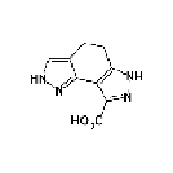 O=C(O)c1n[nH]c2c1-c1n[nH]cc1CC2